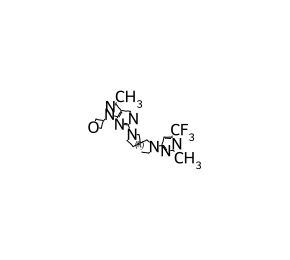 Cc1nc(N2CC[C@@]3(CCN(c4ncc5c(C)nn(C6COC6)c5n4)C3)C2)cc(C(F)(F)F)n1